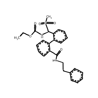 CCOC(=O)NC(c1ccccc1-c1ccccc1C(=O)NCCc1ccccc1)S(C)(=O)=O